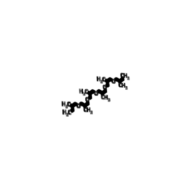 CCC(C)COCC(C)COCC(C)COCC(C)COCC(C)COCC(C)CC